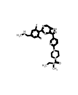 CCN(C)C(=O)N1CCN(c2ccc(-c3n[nH]c4cnc(-c5c(F)cc(CNC)cc5F)nc34)cn2)CC1